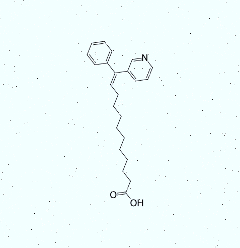 O=C(O)CCCCCCCCCC=C(c1ccccc1)c1cccnc1